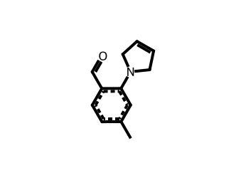 Cc1ccc(C=O)c(N2CC=CC2)c1